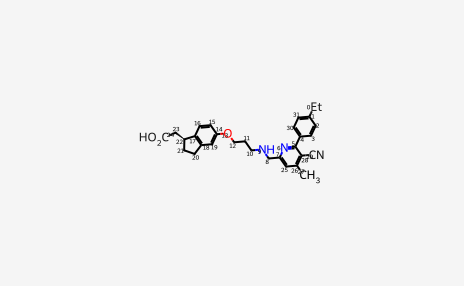 CCc1ccc(-c2nc(CNCCCOc3ccc4c(c3)CC[C@H]4CC(=O)O)cc(C)c2C#N)cc1